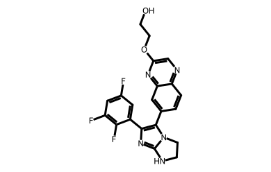 OCCOc1cnc2ccc(-c3c(-c4cc(F)cc(F)c4F)nc4n3CCN4)cc2n1